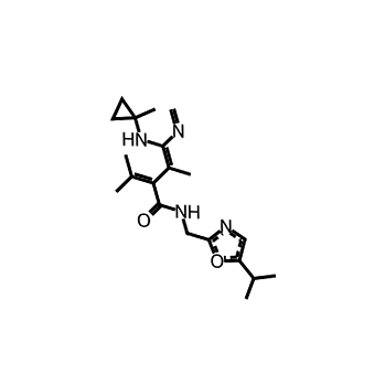 C=N/C(NC1(C)CC1)=C(\C)C(C(=O)NCc1ncc(C(C)C)o1)=C(C)C